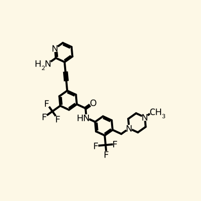 CN1CCN(Cc2ccc(NC(=O)c3cc(C#Cc4cccnc4N)cc(C(F)(F)F)c3)cc2C(F)(F)F)CC1